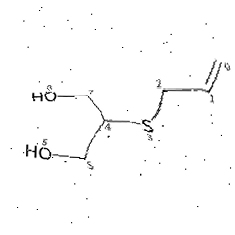 C=CCSC(CO)CO